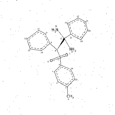 Cc1ccc(S(=O)(=O)[C@@H](c2ccccc2)C(N)(N)c2ccccc2)cc1